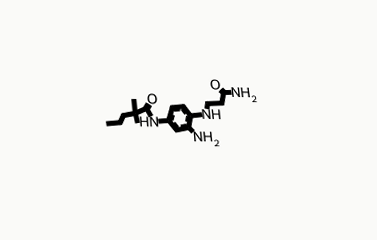 CCCC(C)(C)C(=O)Nc1ccc(NCCC(N)=O)c(N)c1